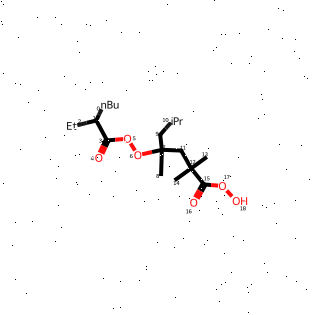 CCCCC(CC)C(=O)OOC(C)(CC(C)C)CC(C)(C)C(=O)OO